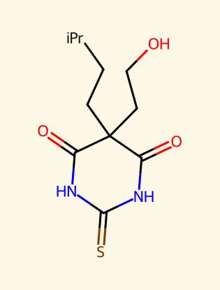 CC(C)CCC1(CCO)C(=O)NC(=S)NC1=O